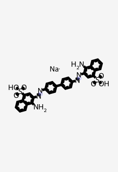 Nc1c(/N=N/c2ccc(-c3ccc(/N=N/c4cc(S(=O)(=O)O)c5ccccc5c4N)cc3)cc2)cc(S(=O)(=O)O)c2ccccc12.[Na]